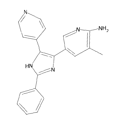 Cc1cc(-c2nc(-c3ccccc3)[nH]c2-c2ccncc2)cnc1N